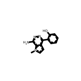 Cn1ccc2c(-c3ccccc3O)nnc(N)c21